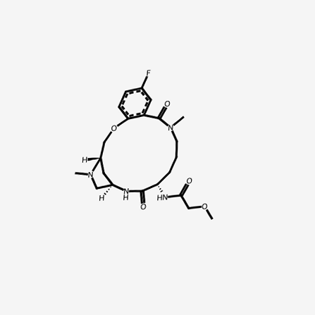 COCC(=O)N[C@H]1CCCN(C)C(=O)c2cc(F)ccc2OC[C@@H]2C[C@H](CN2C)NC1=O